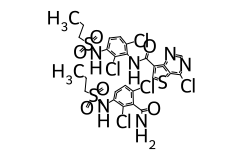 CCCS(=O)(=O)Nc1ccc(Cl)c(C(N)=O)c1Cl.CCCS(=O)(=O)Nc1ccc(Cl)c(NC(=O)c2csc3c(Cl)ncnc23)c1Cl